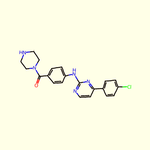 O=C(c1ccc(Nc2nccc(-c3ccc(Cl)cc3)n2)cc1)N1C[CH]NCC1